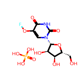 O=P(O)(O)O.O=c1[nH]c(=O)n([C@@H]2O[C@H](CO)[C@@H](O)[C@H]2O)cc1OF